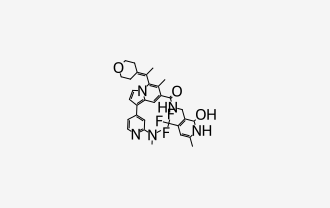 CC1=CC(C(F)(F)F)=C(CNC(=O)c2cc3c(-c4ccnc(N(C)C)c4)ccn3c(C(C)=C3CCOCC3)c2C)C(O)N1